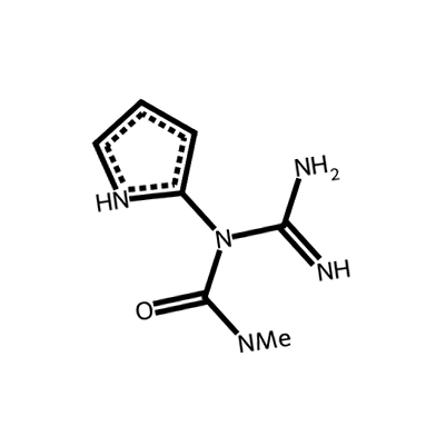 CNC(=O)N(C(=N)N)c1ccc[nH]1